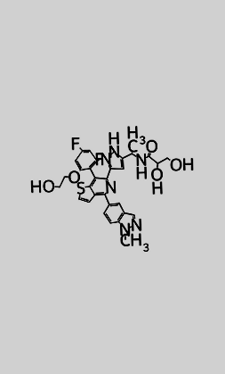 CC(NC(=O)C(O)CO)c1cc(-c2nc(-c3ccc4c(cnn4C)c3)c3ccsc3c2-c2c(F)cc(F)cc2OCCO)n[nH]1